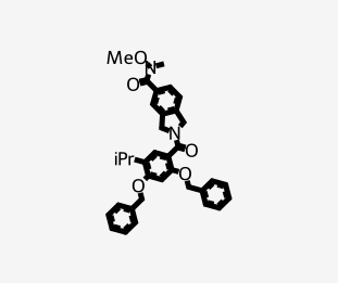 CON(C)C(=O)c1ccc2c(c1)CN(C(=O)c1cc(C(C)C)c(OCc3ccccc3)cc1OCc1ccccc1)C2